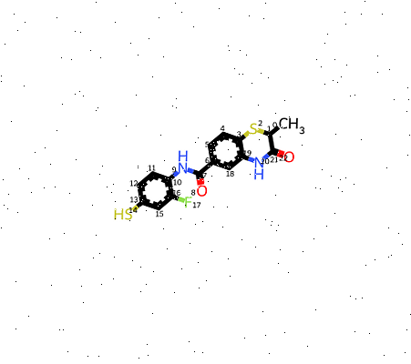 CC1Sc2ccc(C(=O)Nc3ccc(S)cc3F)cc2NC1=O